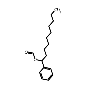 CCCCCCCCCC(OC=O)c1ccccc1